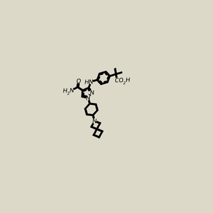 CC(C)(C(=O)O)c1ccc(Nc2nn(C3CCC(N4CC5(CCC5)C4)CC3)cc2C(N)=O)cc1